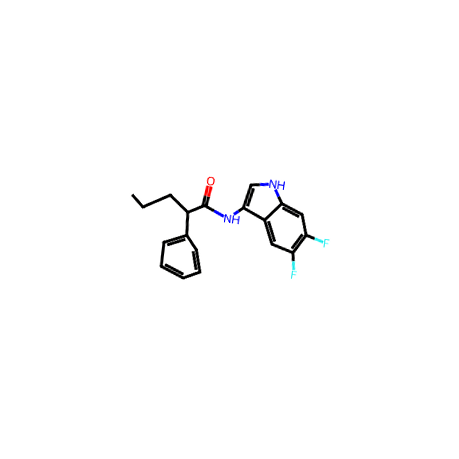 CCCC(C(=O)Nc1c[nH]c2cc(F)c(F)cc12)c1ccccc1